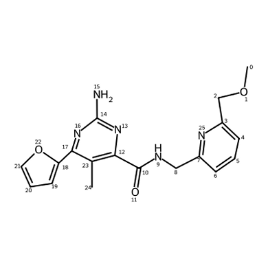 COCc1cccc(CNC(=O)c2nc(N)nc(-c3ccco3)c2C)n1